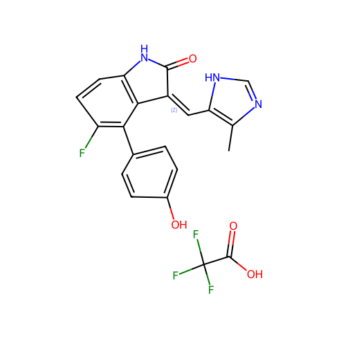 Cc1nc[nH]c1/C=C1\C(=O)Nc2ccc(F)c(-c3ccc(O)cc3)c21.O=C(O)C(F)(F)F